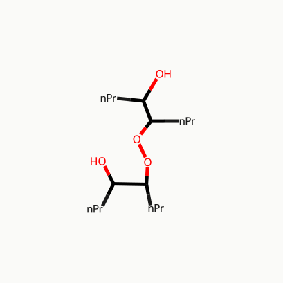 CCCC(O)C(CCC)OOC(CCC)C(O)CCC